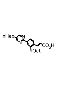 CCCCCCCCc1cc(-c2ncc(CCCCCC)cn2)ccc1C=CC(=O)O